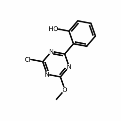 COc1nc(Cl)nc(-c2ccccc2O)n1